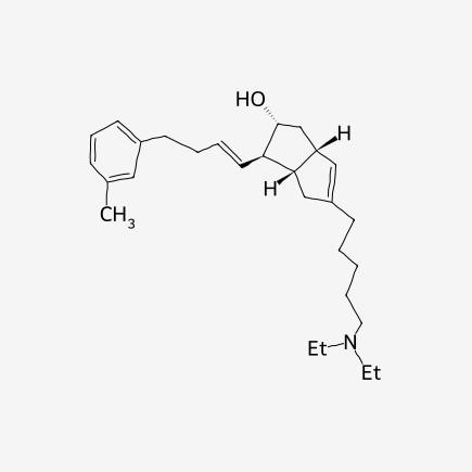 CCN(CC)CCCCCC1=C[C@H]2C[C@@H](O)[C@H](/C=C/CCc3cccc(C)c3)[C@H]2C1